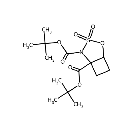 CC(C)(C)OC(=O)N1C2(C(=O)OC(C)(C)C)CCC2OS1(=O)=O